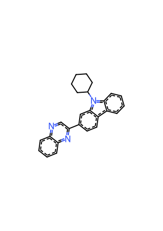 c1ccc2nc(-c3ccc4c5ccccc5n(C5CCCCC5)c4c3)cnc2c1